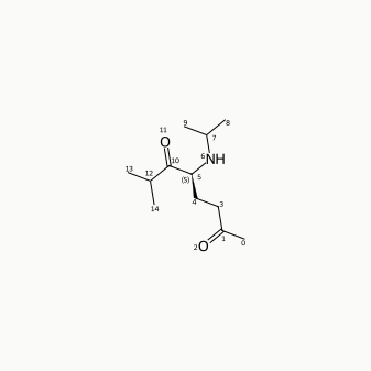 CC(=O)CC[C@H](NC(C)C)C(=O)C(C)C